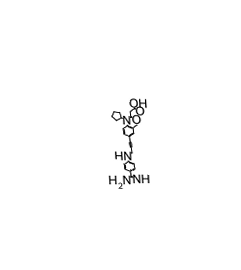 Cc1cc(C#CCNc2ccc(C(=N)N)cc2)ccc1N(C(=O)CC(=O)O)C1CCCC1